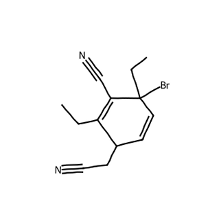 CCC1=C(C#N)C(Br)(CC)C=CC1CC#N